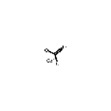 O=C([O-])[O-].[Co+2]